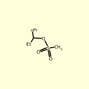 CCCC(CC)OS(C)(=O)=O